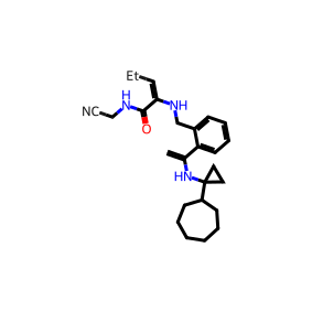 C=C(NC1(C2CCCCCC2)CC1)c1ccccc1CN/C(=C/CC)C(=O)NCC#N